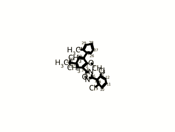 COc1c(-c2nc(-c3c(Cl)cccc3Cl)no2)cc(C(C)(C)C)cc1-c1ccccc1C